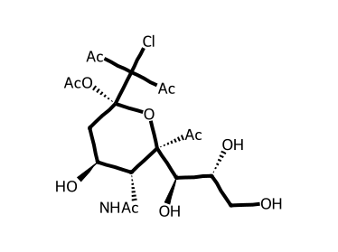 CC(=O)N[C@@H]1[C@@H](O)C[C@@](OC(C)=O)(C(Cl)(C(C)=O)C(C)=O)O[C@@]1(C(C)=O)[C@H](O)[C@H](O)CO